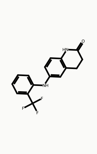 O=C1CCc2cc(Nc3ccccc3C(F)(F)F)ccc2N1